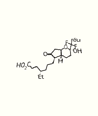 CCCCC(F)(F)[C@@]1(O)CC[C@H]2C(CC(=O)[C@@H]2CCC[C@H](CC)CCC(=O)O)O1